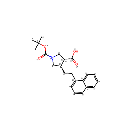 CC(C)(C)OC(=O)N1C[C@H](CCc2cccc3ccccc23)[C@@H](C(=O)O)C1